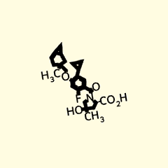 CC1(O)C[C@@H](C(=O)O)N(C(=O)c2cc(C3CC3)c(OCC3(C)CC=C4CC4C3)cc2F)C1